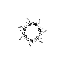 C=C[Si]1(C)O[Si](C)(C=C)O[Si](C)(C=C)O[Si](C)(C=C)O[Si](C)(C=C)O[Si](C)(C=C)O[Si](C)(C=C)O1